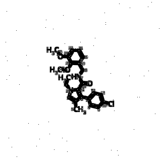 CCn1cc(C)c(-c2ccc(Cl)cc2)c1C(=O)NCc1cccc(OC)c1OC